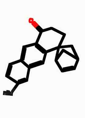 CCCCc1ccc2cc3c(cc2c1)C1(CCC3=O)CC2C=CC1C2